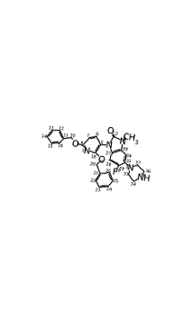 Cn1c(=O)n(-c2ccc(OCc3ccccc3)nc2OCc2ccccc2)c2cc(F)c(N3CCNCC3)cc21